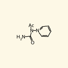 CC(=O)N(C(N)=O)[n+]1ccccc1